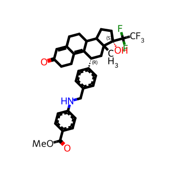 COC(=O)c1ccc(NCc2ccc([C@H]3CC4(C)C(CC[C@@]4(O)C(F)(F)C(F)(F)F)C4CCC5=CC(=O)CCC5=C43)cc2)cc1